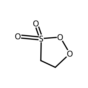 O=S1(=O)CCOO1